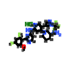 COc1cc(F)cc(F)c1-c1nccc(Nc2cc(N3CCC[C@H](N)C3)c(-c3cnn(C(F)(F)F)c3)cn2)n1.Cl